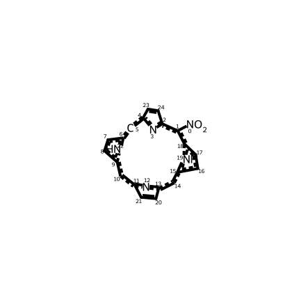 O=[N+]([O-])c1c2nc(cc3ccc(cc4nc(cc5ccc1[nH]5)C=C4)[nH]3)C=C2